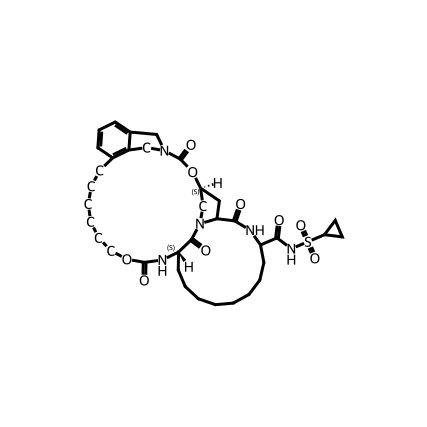 O=C1N[C@H]2CCCCCCCCC(C(=O)NS(=O)(=O)C3CC3)NC(=O)C3C[C@@H](CN3C2=O)OC(=O)N2Cc3cccc(c3C2)CCCCCCO1